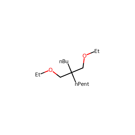 CCCCCC(CCCC)(COCC)COCC